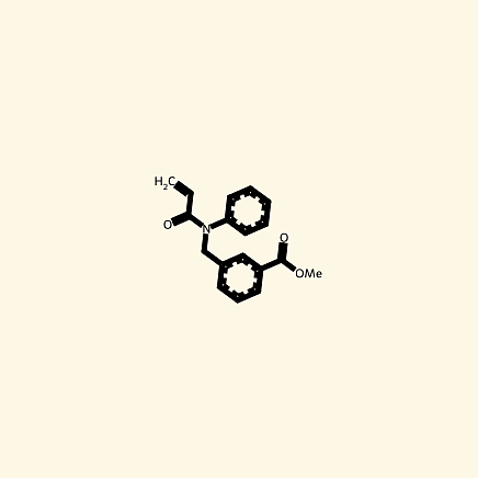 C=CC(=O)N(Cc1cccc(C(=O)OC)c1)c1ccccc1